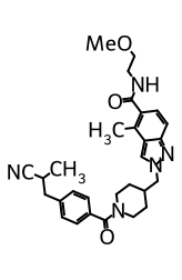 COCCNC(=O)c1ccc2nn(CC3CCN(C(=O)c4ccc(CC(C)C#N)cc4)CC3)cc2c1C